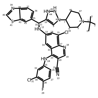 CC(C)(C)N1CCC(N2C=C([C@@H](Nc3cc(Cl)c4ncc(C#N)c(Nc5ccc(F)c(Cl)c5)c4c3)c3ccc4ncsc4c3)NN2)CC1